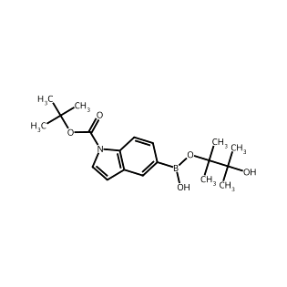 CC(C)(C)OC(=O)n1ccc2cc(B(O)OC(C)(C)C(C)(C)O)ccc21